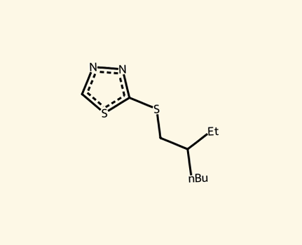 CCCCC(CC)CSc1nncs1